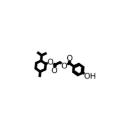 CC1CCC(C(C)C)C(OC(=O)COC(=O)c2ccc(O)cc2)C1